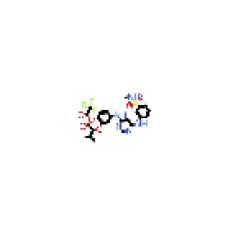 CNS(=O)(=O)c1cccc(Nc2cc(Nc3cccc(OC(C(=O)OC(=O)C(F)(F)F)C(C)C)c3)ncn2)c1